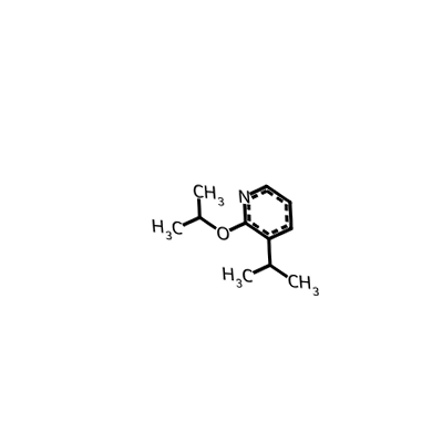 CC(C)Oc1ncccc1C(C)C